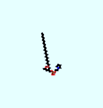 CCCCCCCCCCCCCCCCCCCCOCC(COP(O)OCCN1CCCC1)CC(C)=O